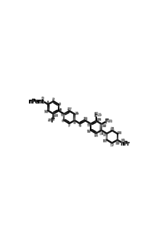 CCCCCc1ccc(-c2ccc(/C=C/c3ccc(C4CCC(CCC)CC4)c(F)c3F)cc2)c(F)c1